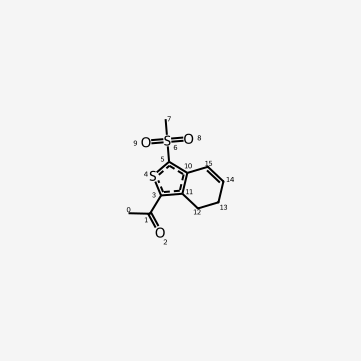 CC(=O)c1sc(S(C)(=O)=O)c2c1CCC=C2